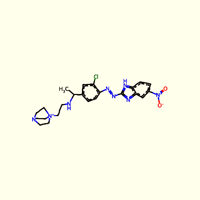 CC(NCC[N+]12CCN(CC1)CC2)c1ccc(N=Nc2nc3cc([N+](=O)[O-])ccc3[nH]2)c(Cl)c1